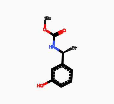 C[CH][C@H](NC(=O)OC(C)(C)C)c1cccc(O)c1